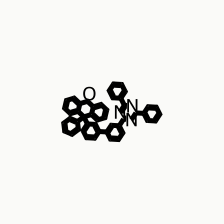 O=C1c2ccccc2C(c2ccccc2)(c2cccc(-c3cccc(-c4nc(-c5ccccc5)nc(-c5ccccc5)n4)c3)c2)c2ccccc21